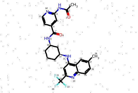 CC(=O)Nc1cc(C(=O)N[C@@H]2CCC[C@H](Nc3cc(C(F)(F)F)nc4ccc(C)cc34)C2)ccn1